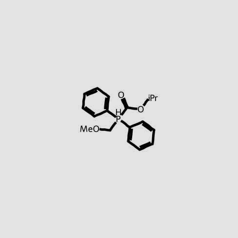 COC[PH](C(=O)OC(C)C)(c1ccccc1)c1ccccc1